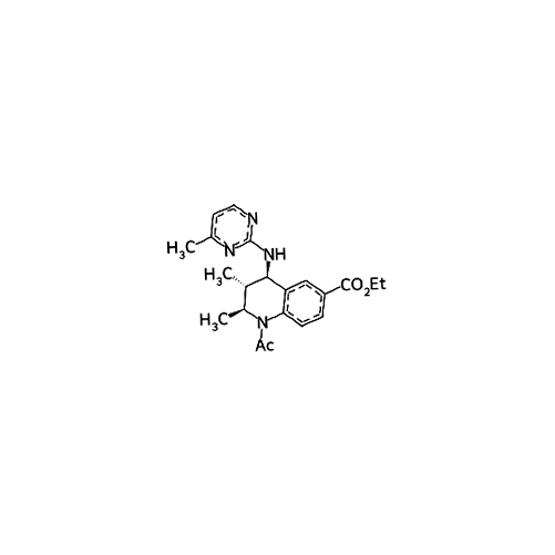 CCOC(=O)c1ccc2c(c1)[C@H](Nc1nccc(C)n1)[C@@H](C)[C@H](C)N2C(C)=O